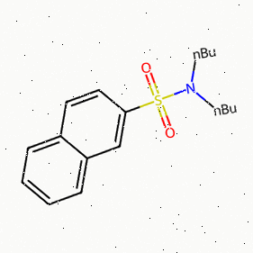 CCCCN(CCCC)S(=O)(=O)c1ccc2ccccc2c1